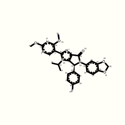 COc1ncc(-c2nc3c(n2C(C)C)[C@H](c2ccc(F)cc2)N(c2ccc4c(c2)OCO4)C3=O)c(OC)n1